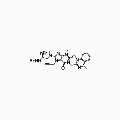 CC#CCn1c(N(C)C[C@H](CCC)NC(C)=O)nc2c1c(=O)n(Cc1nc(C)c3ccccc3n1)c(=O)n2C